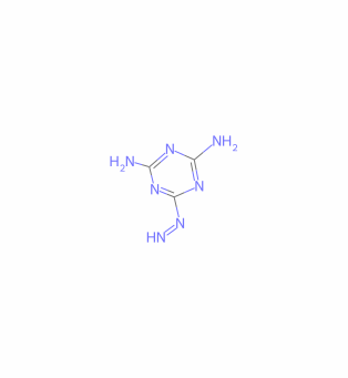 N=Nc1nc(N)nc(N)n1